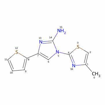 Cc1csc(-n2cc(-c3cccs3)nc2N)n1